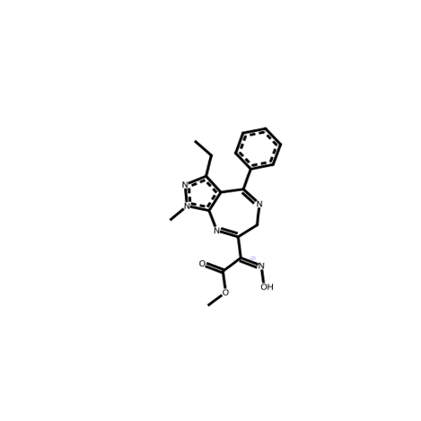 CCc1nn(C)c2c1C(c1ccccc1)=NCC(/C(=N/O)C(=O)OC)=N2